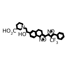 O=C(O)[C@H]1CCCN(C[C@H](O)c2ccc3c(c2)CCc2c-3noc2-c2noc(-c3ccccc3)c2C(F)(F)F)C1